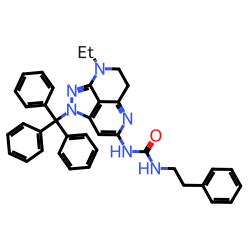 CCN1CCc2nc(NC(=O)NCCc3ccccc3)cc3c2c1nn3C(c1ccccc1)(c1ccccc1)c1ccccc1